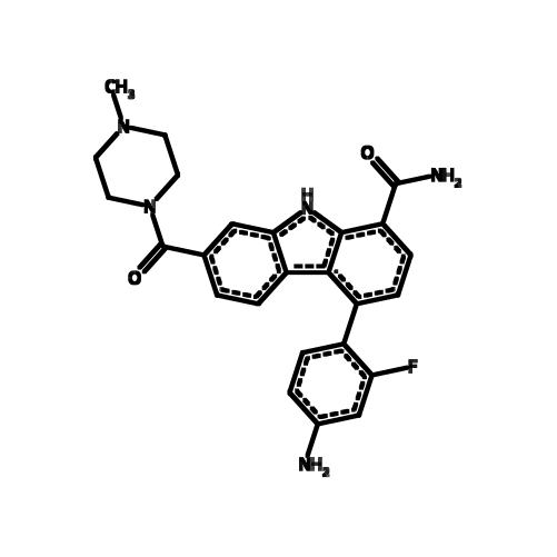 CN1CCN(C(=O)c2ccc3c(c2)[nH]c2c(C(N)=O)ccc(-c4ccc(N)cc4F)c23)CC1